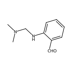 CN(C)CNc1ccccc1C=O